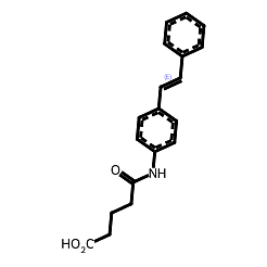 O=C(O)CCCC(=O)Nc1ccc(/C=C/c2ccccc2)cc1